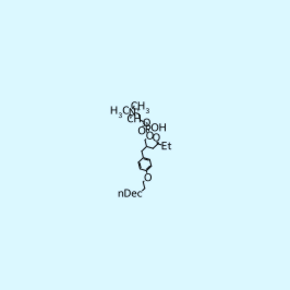 CCCCCCCCCCCCOc1ccc(CC(COP(=O)(O)OCC[N+](C)(C)C)CC(=O)CC)cc1